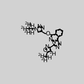 [2H]c1c(-c2nnc3c4ccccc4c(OCc4cn(C([2H])([2H])C([2H])([2H])[2H])nn4)nn23)noc1C([2H])([2H])[2H]